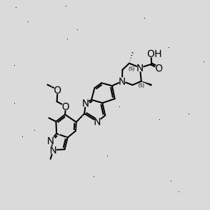 COCOc1c(-c2ncc3cc(N4C[C@H](C)N(C(=O)O)[C@@H](C)C4)ccc3n2)cc2cn(C)nc2c1C